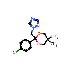 CC1(C)COC(Cn2cncn2)(c2ccc(Cl)cc2)OC1